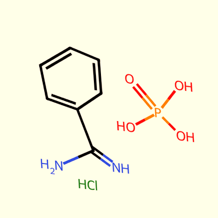 Cl.N=C(N)c1ccccc1.O=P(O)(O)O